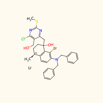 CSc1nc(Cl)c(CO)c(CC2(O)CC[C@H](C)c3ccc(N(Cc4ccccc4)Cc4ccccc4)c(Br)c32)n1.[Li]